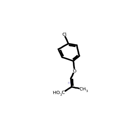 C/C(=C\Oc1ccc(Cl)cc1)C(=O)O